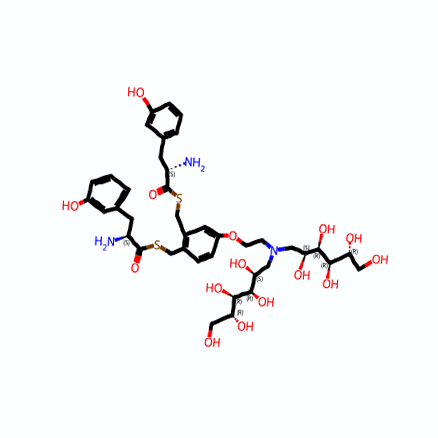 N[C@@H](Cc1cccc(O)c1)C(=O)SCc1ccc(OCCN(C[C@H](O)[C@@H](O)[C@H](O)[C@H](O)CO)C[C@H](O)[C@@H](O)[C@H](O)[C@H](O)CO)cc1CSC(=O)[C@@H](N)Cc1cccc(O)c1